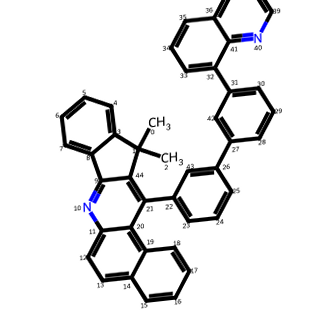 CC1(C)c2ccccc2-c2nc3ccc4ccccc4c3c(-c3cccc(-c4cccc(-c5cccc6cccnc56)c4)c3)c21